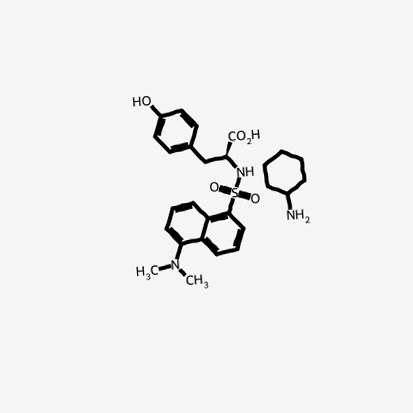 CN(C)c1cccc2c(S(=O)(=O)N[C@@H](Cc3ccc(O)cc3)C(=O)O)cccc12.NC1CCCCC1